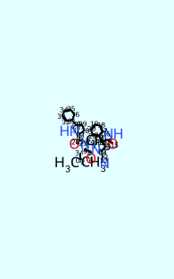 CC(C)C[C@@H](C(=O)N1C[C@]2(C[C@H]1C#N)C(=O)Nc1ccccc12)N(C)C(=O)[C@@H]1CC[C@H](C2C=CC=CC2)N1